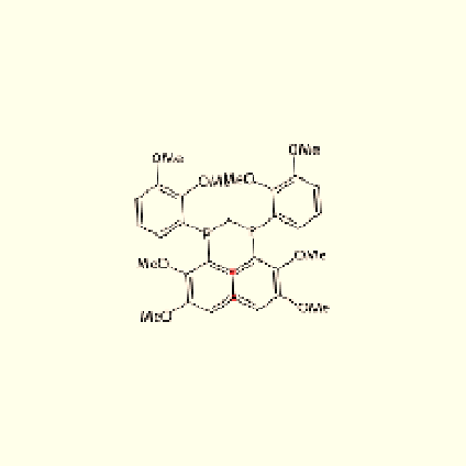 COc1cccc(P(CP(c2cccc(OC)c2OC)c2cccc(OC)c2OC)c2cccc(OC)c2OC)c1OC